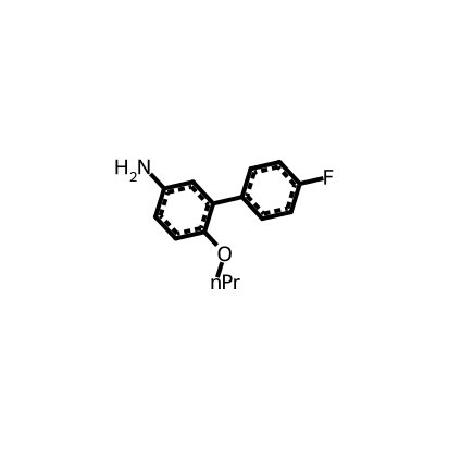 CCCOc1ccc(N)cc1-c1ccc(F)cc1